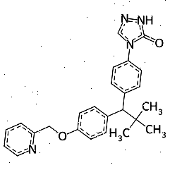 CC(C)(C)C(c1ccc(OCc2ccccn2)cc1)c1ccc(-n2cn[nH]c2=O)cc1